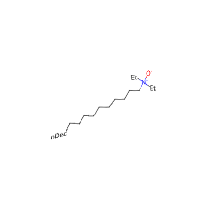 CCCCCCCCCCCCCCCCCCCC[N+]([O-])(CC)CC